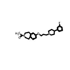 CC(=O)N1CCc2ccc(OCCCN3CCC(c4cccc(F)c4)CC3)cc2CC1